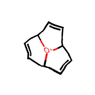 C1=CC2C=CC3C=CC1[O+]23